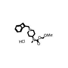 COCOC(=O)N(C)C1CCN(CC2=Cc3ccccc32)CC1.Cl